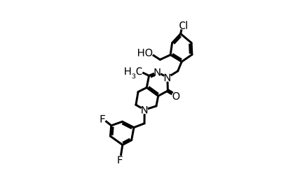 Cc1nn(Cc2ccc(Cl)cc2CO)c(=O)c2c1CCN(Cc1cc(F)cc(F)c1)C2